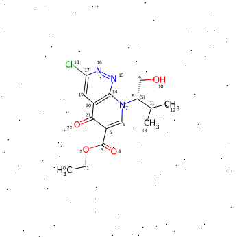 CCOC(=O)c1cn([C@H](CO)C(C)C)c2nnc(Cl)cc2c1=O